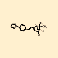 CC1(C)[C@@H]2C[C@H]1C(/C=C/c1ccc(-n3cccc3)cc1)=CC2=O